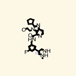 CN/C=C(\C=N)c1cc(F)cc(CNC(=O)c2nccc3nc(C4CCCC4)n(CC=O)c23)c1